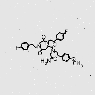 COc1ccc(CCN(CC(N)=O)C(=O)C2CC(=O)N(CCc3ccc(F)cc3)CC(=O)N2CCC2=CC=C(F)CC2)cc1